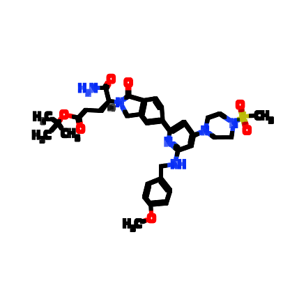 COc1ccc(CNc2cc(N3CCN(S(C)(=O)=O)CC3)cc(-c3ccc4c(c3)CN([C@@H](CCC(=O)OC(C)(C)C)C(N)=O)C4=O)n2)cc1